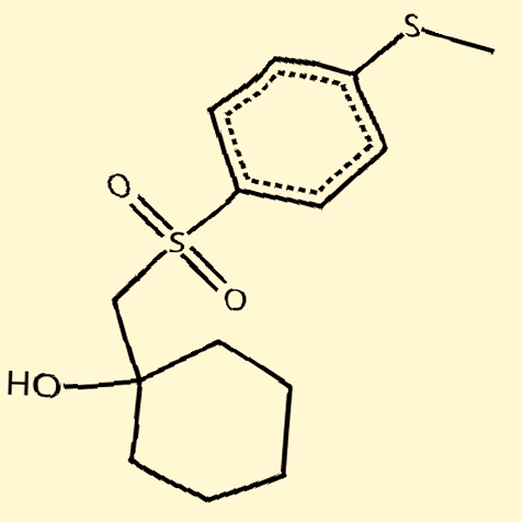 CSc1ccc(S(=O)(=O)CC2(O)CCCCC2)cc1